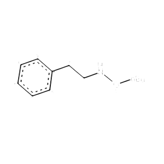 CCCCONCCc1[c]cccc1